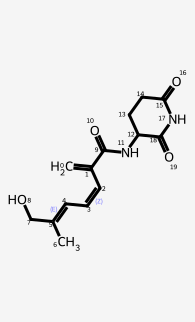 C=C(/C=C\C=C(/C)CO)C(=O)NC1CCC(=O)NC1=O